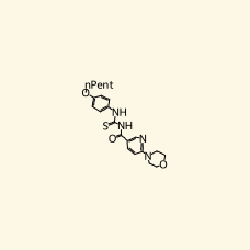 CCCCCOc1ccc(NC(=S)NC(=O)c2ccc(N3CCOCC3)nc2)cc1